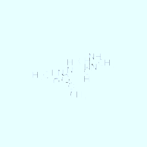 C1CCNC1.CCCCNc1cc(OCC)cc(OCCC)c1N.CCNCC